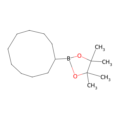 CC1(C)OB(C2CCCCCCCCC2)OC1(C)C